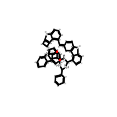 C1=CCC(C2NC(c3ccccc3)NC(c3cccc4sc5c(c34)C/C(=C/c3cccc4oc6c(c34)[C@H](n3c4ccccc4c4ccccc43)C6)C=C5)N2)C=C1